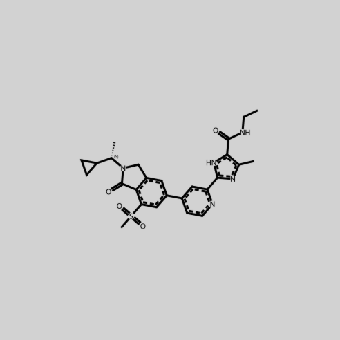 CCNC(=O)c1[nH]c(-c2cc(-c3cc4c(c(S(C)(=O)=O)c3)C(=O)N([C@@H](C)C3CC3)C4)ccn2)nc1C